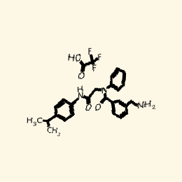 CC(C)c1ccc(NC(=O)CN(C(=O)c2cccc(CN)c2)c2ccccc2)cc1.O=C(O)C(F)(F)F